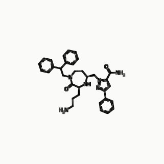 NCCC[C@@H]1N[C@H](Cn2nc(-c3ccccc3)cc2C(N)=O)CCN(CC(c2ccccc2)c2ccccc2)C1=O